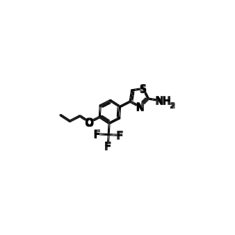 CCCOc1ccc(-c2csc(N)n2)cc1C(F)(F)F